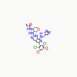 C=CC(=O)N[C@H]1CCOC[C@H]1Nc1ncc2cc(-c3c(Cl)c(OC)cc(OC)c3Cl)nc(NCc3cnn(C)c3)c2n1